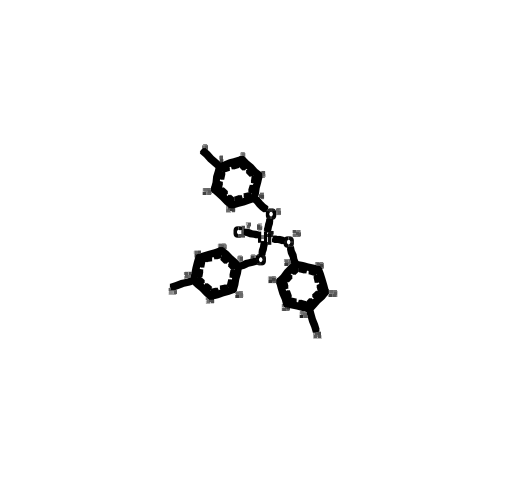 Cc1ccc([O][Hf]([Cl])([O]c2ccc(C)cc2)[O]c2ccc(C)cc2)cc1